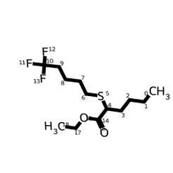 CCCCC(SCCCCC(F)(F)F)C(=O)OCC